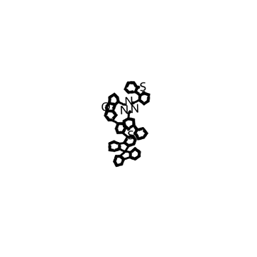 c1ccc2c(c1)-c1ccccc1C21c2ccccc2-c2c(-c3ccc(-c4ccc5oc6cccc(-c7nc(-c8ccc9sc%10ccccc%10c9c8)nc(-c8cccc9sc%10ccccc%10c89)n7)c6c5c4)cc3)cccc21